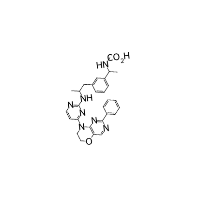 CC(Cc1cccc(C(C)NC(=O)O)c1)Nc1nccc(N2CCOc3cnc(-c4ccccc4)nc32)n1